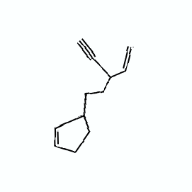 [CH]=CC(C#C)CCC1C=CCC1